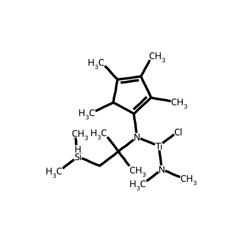 CC1=C(C)C(C)C([N]([Ti]([Cl])[N](C)C)C(C)(C)C[SiH](C)C)=C1C